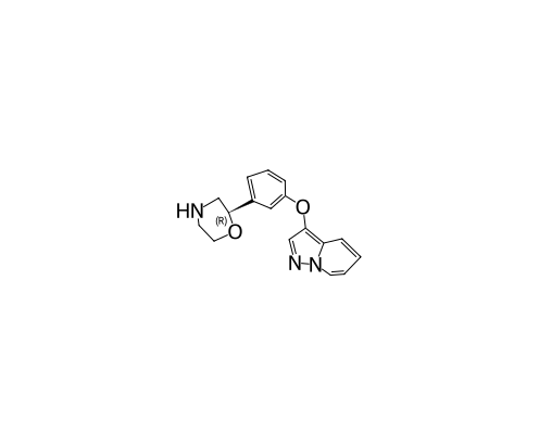 c1cc(Oc2cnn3ccccc23)cc([C@@H]2CNCCO2)c1